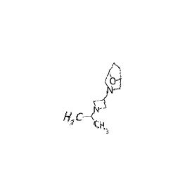 CC(C)N1CC(N2CC3CCC(C2)O3)C1